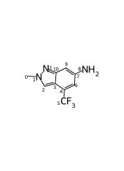 Cn1cc2c(C(F)(F)F)cc(N)cc2n1